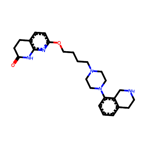 O=C1CCc2ccc(OCCCCN3CCN(c4cccc5c4CNCC5)CC3)nc2N1